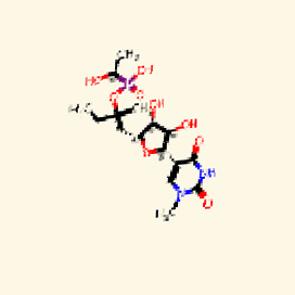 CCC(C)(C[C@H]1O[C@@H](c2cn(C)c(=O)[nH]c2=O)[C@H](O)[C@@H]1O)OP(=O)(O)[C@H](C)O